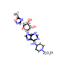 CCOC(=O)N1CCC(Nc2ncnc3c2ncn3[C@@H]2O[C@H](c3noc(C(C)(C)C)n3)[C@@H](O)[C@H]2O)CC1